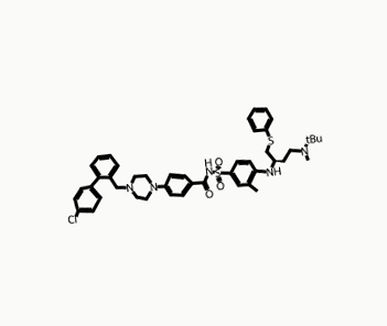 Cc1cc(S(=O)(=O)NC(=O)c2ccc(N3CCN(Cc4ccccc4-c4ccc(Cl)cc4)CC3)cc2)ccc1N[C@H](CCN(C)C(C)(C)C)CSc1ccccc1